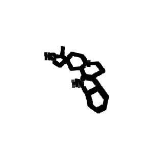 CCC1(C(C)O)CCN2CCc3c([nH]c4ccccc34)C2C1